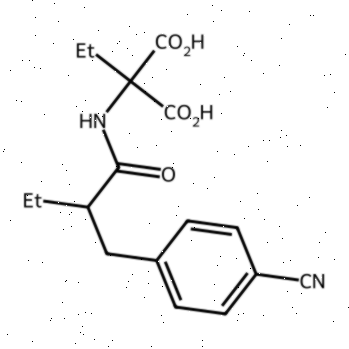 CCC(Cc1ccc(C#N)cc1)C(=O)NC(CC)(C(=O)O)C(=O)O